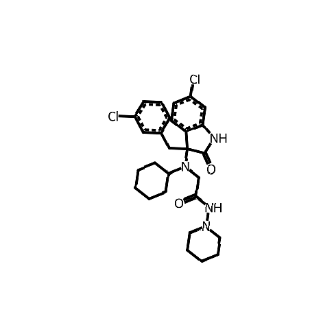 O=C(CN(C1CCCCC1)C1(Cc2cccc(Cl)c2)C(=O)Nc2cc(Cl)ccc21)NN1CCCCC1